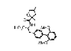 COc1cccc(OC)c1-c1ccc(C[C@H](NC(=O)C2(C)CC(C)CO2)C(=O)O)cc1